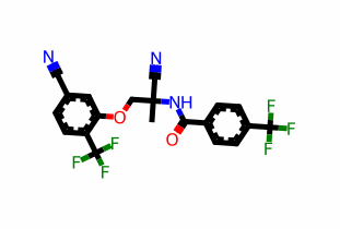 CC(C#N)(COc1cc(C#N)ccc1C(F)(F)F)NC(=O)c1ccc(C(F)(F)F)cc1